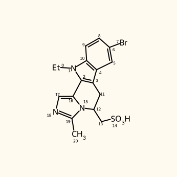 CCn1c2c(c3cc(Br)ccc31)CC(CS(=O)(=O)O)n1c-2cnc1C